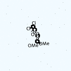 COc1ccc(N2CCO[C@@H](C(=O)N3CCc4cc(Cl)cc(Cl)c4[C@@H]3C)C2)cc1OC